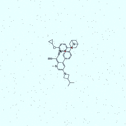 C#C/C(C#N)=C1/C(c2ccc(N3CC4CC(C3)N4Cc3ccc(OC4CC4)nc3)nc2)=CC(N2CC(C(C)C)C2)=CN1C